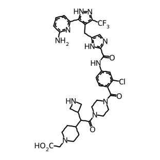 Nc1cccc(-c2[nH]nc(C(F)(F)F)c2Cc2cnc(C(=O)Nc3ccc(C(=O)N4CCN(C(=O)C(C5CCN(CC(=O)O)CC5)C5CNC5)CC4)c(Cl)c3)[nH]2)n1